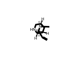 C=C[C@@H]1[C@@H]2CC[C@@H](CN2)N1C